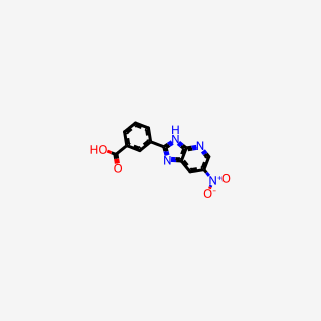 O=C(O)c1cccc(-c2nc3cc([N+](=O)[O-])cnc3[nH]2)c1